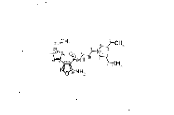 CCCCN(CCCC)CCCNC(=O)c1c(-c2ccc(CC)s2)noc1N